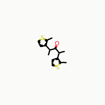 Cc1sccc1C(C)C(=O)C(C)c1ccsc1C